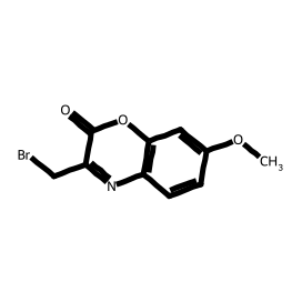 COc1ccc2nc(CBr)c(=O)oc2c1